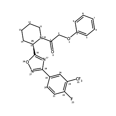 O=C(COc1ccccc1)N1CCCC[C@@H]1c1nc(-c2ccc(F)c(C(F)(F)F)c2)no1